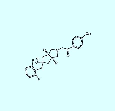 O=C(CN1C[C@@H]2CC(O)(Cc3c(F)cccc3F)C[C@@H]2C1)c1ccc(O)cc1